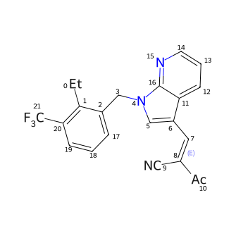 CCc1c(Cn2cc(/C=C(\C#N)C(C)=O)c3cccnc32)cccc1C(F)(F)F